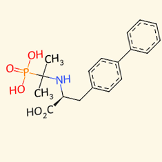 CC(C)(N[C@@H](Cc1ccc(-c2ccccc2)cc1)C(=O)O)P(=O)(O)O